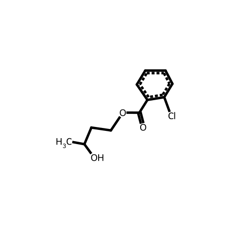 CC(O)CCOC(=O)c1ccccc1Cl